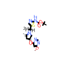 [2H]C([2H])(c1cnc(NC(=O)OC(C)(C)C)s1)N1C[C@H](Oc2cc(OC)ncn2)C[C@@H]1C